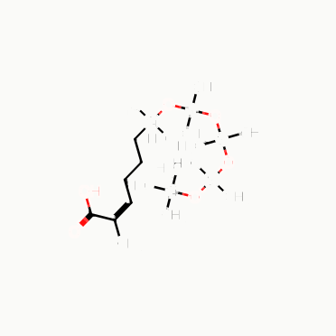 CC(=CCCC[Si](C)(C)O[Si](C)(C)O[Si](C)(C)O[Si](C)(C)O[Si](C)(C)C)C(=O)O